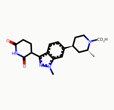 C[C@@H]1C[C@@H](c2ccc3c(C4CCC(=O)NC4=O)nn(C)c3c2)CCN1C(=O)O